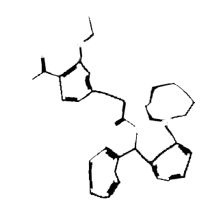 CCOc1cc(CC(=O)NC(c2ccccc2)c2ccccc2N2CCCCCC2)ccc1C(=O)O